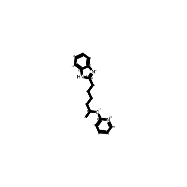 CC(CCCCc1nc2ccccc2[nH]1)Oc1ccccn1